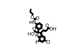 CCCOC(=O)Nc1cccc(C2(C(=O)O)N=c3c(F)cc(Cl)cc3=C2C=CC(=O)O)c1